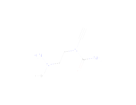 C#CN(CCN(N)C=O)C(N)=O